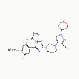 COc1cc2nc(N)n3nc(C4CCCN(c5cn(C6CCOCC6)nc5C)C4)nc3c2cc1F